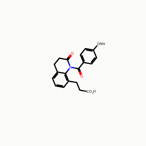 COc1ccc(C(=O)N2C(=O)CCc3cccc(CCC(=O)O)c32)cc1